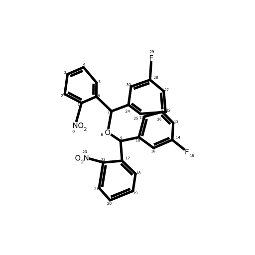 O=[N+]([O-])c1ccccc1C(OC(c1cccc(F)c1)c1ccccc1[N+](=O)[O-])c1cccc(F)c1